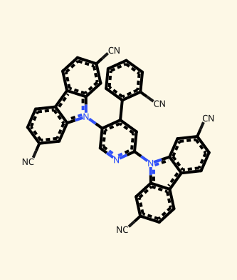 N#Cc1ccc2c3ccc(C#N)cc3n(-c3cc(-c4ccccc4C#N)c(-n4c5cc(C#N)ccc5c5ccc(C#N)cc54)cn3)c2c1